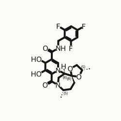 C[C@H]1CO[C@]2(CC[C@H](C)N3C[C@H]2N2C=C(C(=O)NCc4c(F)cc(F)cc4F)C(O)C(O)=C2C3=O)O1